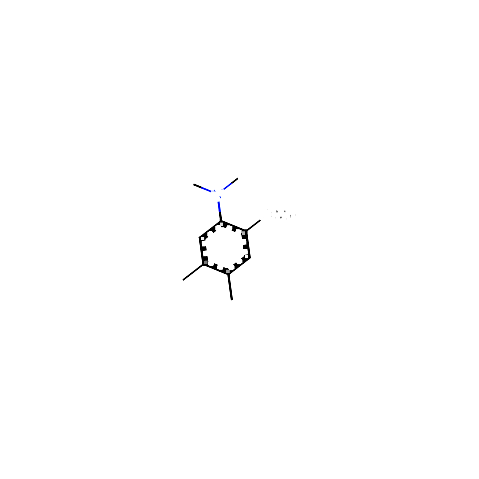 COc1cc(C)c(C)cc1N(C)C